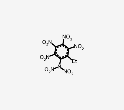 CCc1c(N([N+](=O)[O-])[N+](=O)[O-])c([N+](=O)[O-])c([N+](=O)[O-])c([N+](=O)[O-])c1[N+](=O)[O-]